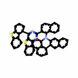 c1ccc2cc3c(cc2c1)-c1cccc2cccc(c12)N3c1c(-c2nc(-c3cccc4sc5ccccc5c34)c3sc4ccccc4c3n2)ccc2ccccc12